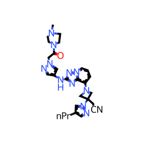 CCCc1cnn(C2(CC#N)CN(c3cccn4nc(Nc5cnn(CC(=O)N6CCN(C)CC6)c5)nc34)C2)c1